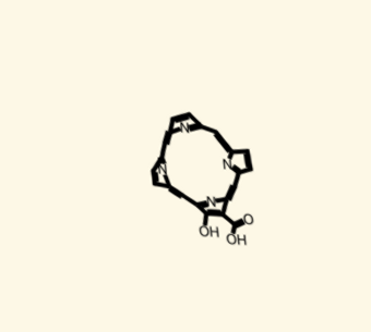 O=C(O)C1=C(O)C2=NC1=CC1=NC(=CC3=NC(=CC4=NC(=C2)C=C4)C=C3)C=C1